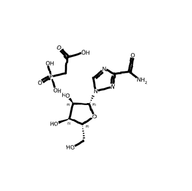 NC(=O)c1ncn([C@@H]2O[C@H](CO)[C@@H](O)[C@H]2O)n1.O=C(O)CP(=O)(O)O